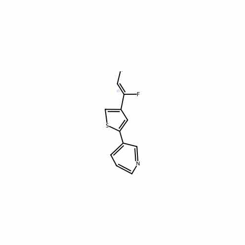 [CH2]/C=C(\F)c1csc(-c2cccnc2)c1